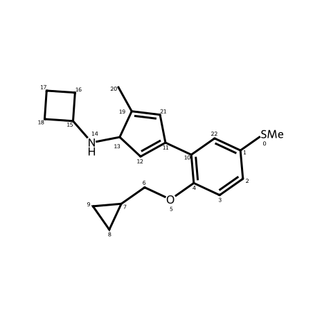 CSc1ccc(OCC2CC2)c(C2=CC(NC3CCC3)C(C)=C2)c1